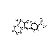 NC(=O)/C(=C\c1ccc([N+](=O)[O-])cc1)N1CCCCC1